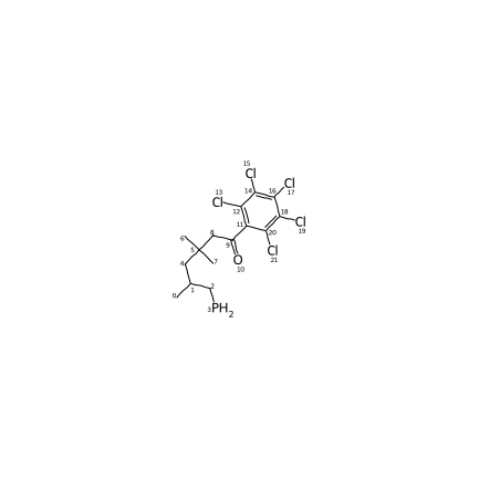 CC(CP)CC(C)(C)CC(=O)c1c(Cl)c(Cl)c(Cl)c(Cl)c1Cl